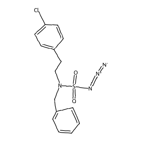 [N-]=[N+]=NS(=O)(=O)N(CCc1ccc(Cl)cc1)Cc1ccccc1